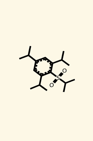 CC(C)c1cc(C(C)C)c(S(=O)(=O)C(C)C)c(C(C)C)c1